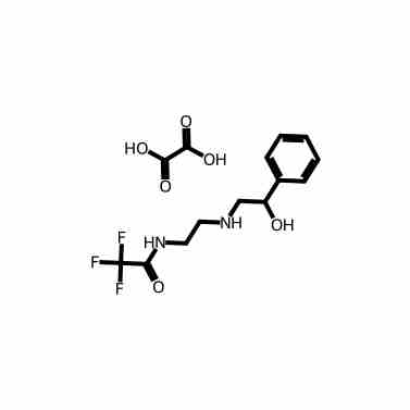 O=C(NCCNCC(O)c1ccccc1)C(F)(F)F.O=C(O)C(=O)O